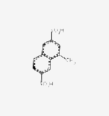 Cc1cc(S(=O)(=O)O)cc2ccc(S(=O)(=O)O)cc12